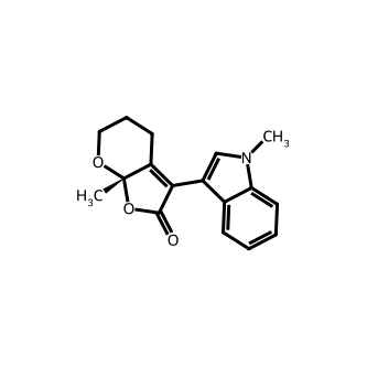 Cn1cc(C2=C3CCCO[C@@]3(C)OC2=O)c2ccccc21